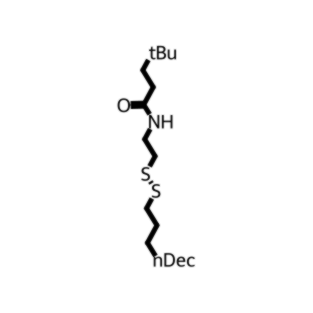 CCCCCCCCCCCCCSSCCNC(=O)CCC(C)(C)C